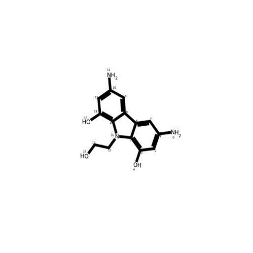 Nc1cc(O)c2c(c1)c1cc(N)cc(O)c1n2CCO